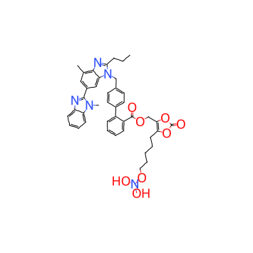 CCCc1nc2c(C)cc(-c3nc4ccccc4n3C)cc2n1Cc1ccc(-c2ccccc2C(=O)OCc2oc(=O)oc2CCCCCON(O)O)cc1